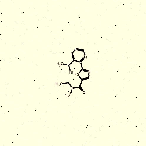 CCN(C)C(=O)c1cnc(-c2nccnc2[C@H](C)N)s1